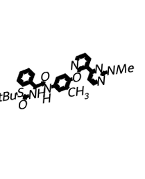 CNc1nccc(-c2cccnc2Oc2ccc(NC(=O)C(NC(=O)SC(C)(C)C)c3ccccc3)cc2C)n1